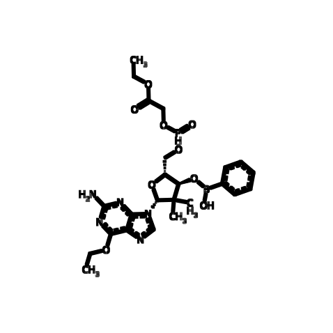 CCOC(=O)CO[PH](=O)OC[C@H]1O[C@@H](n2cnc3c(OCC)nc(N)nc32)C(C)(C)[C@@H]1OB(O)c1ccccc1